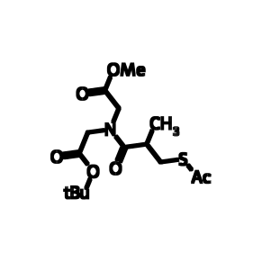 COC(=O)CN(CC(=O)OC(C)(C)C)C(=O)C(C)CSC(C)=O